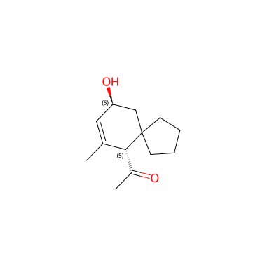 CC(=O)[C@@H]1C(C)=C[C@@H](O)CC12CCCC2